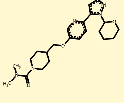 CN(C)C(=O)N1CCC(COc2ccc(-c3ccnn3C3CCCCO3)nc2)CC1